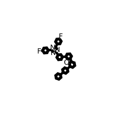 Fc1ccc(-c2nc(-c3ccc(F)cc3)nc(-c3cccc(-c4cccc5c4oc4c(-c6ccc(-c7ccccc7)cc6)cccc45)c3)n2)cc1